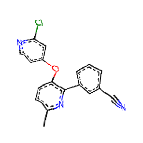 Cc1ccc(Oc2ccnc(Cl)c2)c(-c2cccc(C#N)c2)n1